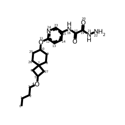 CCCCOC1CC2(CCC(Oc3ccc(NC(=O)C(=O)NN)cn3)CC2)C1